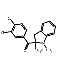 CN1c2ccccc2CC1(C(=O)O)C(=O)c1ccc(Cl)c(Cl)c1